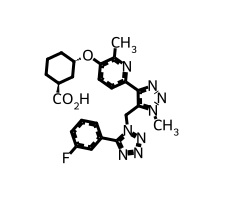 Cc1nc(-c2nnn(C)c2Cn2nnnc2-c2cccc(F)c2)ccc1O[C@H]1CCC[C@H](C(=O)O)C1